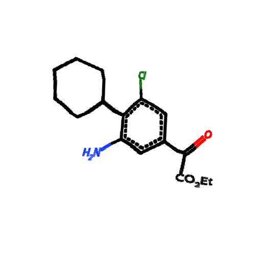 CCOC(=O)C(=O)c1cc(N)c(C2CCCCC2)c(Cl)c1